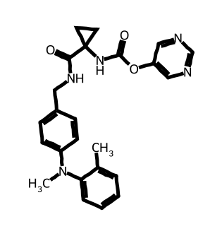 Cc1ccccc1N(C)c1ccc(CNC(=O)C2(NC(=O)Oc3cncnc3)CC2)cc1